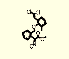 CO/N=C(/C(=O)OC)c1ccccc1COc1c(C)cccc1C=C(Cl)Cl